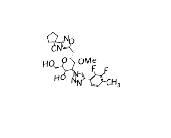 CO[C@@H]1[C@@H](n2cc(-c3ccc(C)c(F)c3F)nn2)[C@@H](O)[C@@H](CO)O[C@@H]1Cc1cc(C2(C#N)CCCC2)no1